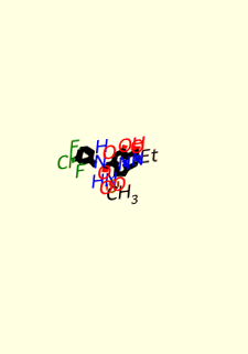 CCN1CC2C[C@H](NS(C)(=O)=O)c3c(C(=O)NCc4ccc(F)c(Cl)c4F)c(=O)c(O)c(n32)C1=O